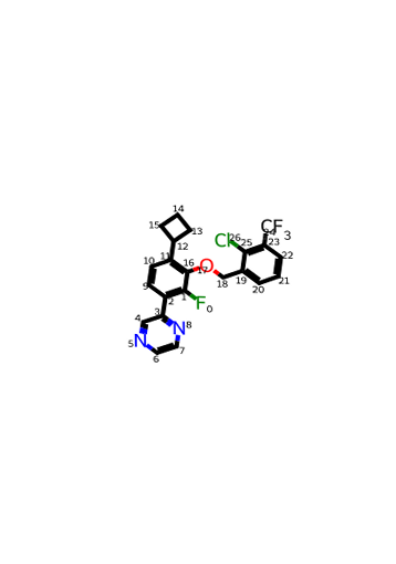 Fc1c(-c2cnccn2)ccc(C2CCC2)c1OCc1cccc(C(F)(F)F)c1Cl